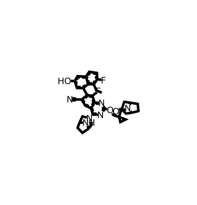 CCc1c(F)ccc2cc(O)cc(-c3c(C#N)cc4c(N5CC6CCC(C5)N6)nc(OCC5(CN6C7CCC6CC(=O)C7)CC5)nc4c3F)c12